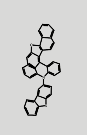 c1ccc(N(c2ccc3sc4ccccc4c3c2)c2ccccc2-c2cccc3oc4c5ccccc5ccc4c23)cc1